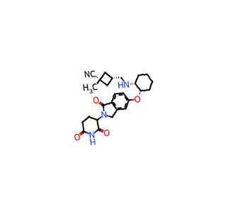 C[C@]1(C#N)C[C@@H](CN[C@@H]2CCCC[C@@H]2Oc2ccc3c(c2)CN(C2CCC(=O)NC2=O)C3=O)C1